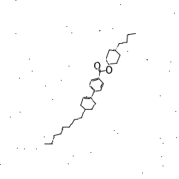 CCCCCCCCC1CC=C(c2ccc(C(=O)OC3CCC(CCCC)CC3)cc2)CC1